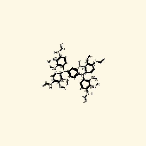 CCNc1ccc(N(c2ccc(N(c3ccc(NCC)c(OC)c3OC)c3ccc(NCC)c(OC)c3OC)cc2)c2ccc(NCC)c(OC)c2OC)c(OC)c1OC